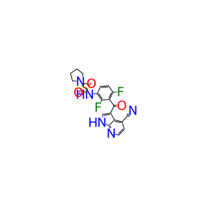 N#Cc1ccnc2[nH]cc(C(=O)c3c(F)ccc(NS(=O)(=O)N4CCCC4)c3F)c12